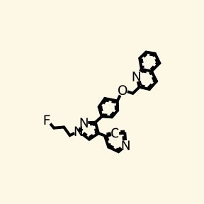 FCCCn1cc(-c2ccncc2)c(-c2ccc(OCc3ccc4ccccc4n3)cc2)n1